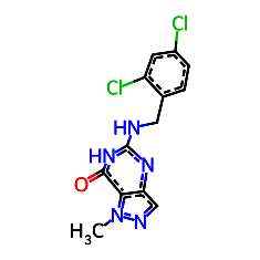 Cn1ncc2nc(NCc3ccc(Cl)cc3Cl)[nH]c(=O)c21